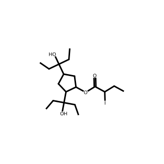 CCC(I)C(=O)OC1CC(C(O)(CC)CC)CC1C(O)(CC)CC